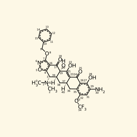 CN(C)[C@@H]1c2onc(OCc3ccccc3)c2C(=O)[C@@]2(O)C(O)=C3C(=O)c4c(O)c(N)cc(OC(F)(F)F)c4C[C@H]3C[C@@H]12